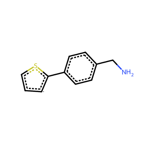 NCc1ccc(-c2[c]ccs2)cc1